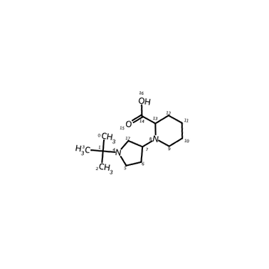 CC(C)(C)N1CCC(N2CCCCC2C(=O)O)C1